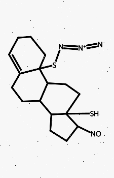 [N-]=[N+]=NSC12CCCC=C1CCC1C2CCC2(S)C(N=O)CCC12